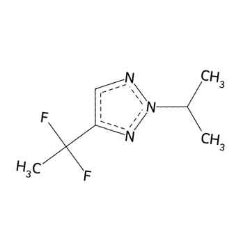 CC(C)n1ncc(C(C)(F)F)n1